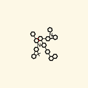 CC1(C)c2ccccc2-c2ccc(N(c3ccc(-c4ccccc4)cc3)c3cc(-c4ccc(-c5cccc6ccccc56)cc4)ccc3-c3ccccc3-c3ccc4c5ccccc5n(-c5ccccc5)c4c3)cc21